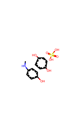 CNc1ccc(O)cc1.O=S(=O)(O)O.Oc1ccc(O)cc1